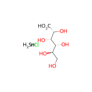 Cl.O=C(O)[C@H](O)[C@@H](O)[C@H](O)[C@H](O)CO.[SnH2]